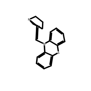 C(=C1CN2CCC1CC2)N1c2ccccc2Sc2ccccc21